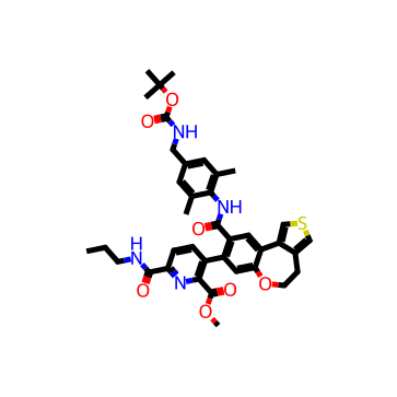 CCCNC(=O)c1ccc(-c2cc3c(cc2C(=O)Nc2c(C)cc(CNC(=O)OC(C)(C)C)cc2C)-c2cscc2CCO3)c(C(=O)OC)n1